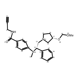 C#CCNC(=O)c1ccc(N(C)[C@H](CN2CC[C@H](OCOC)C2)c2ccccc2)cc1